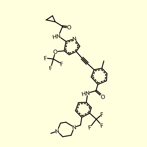 Cc1ccc(C(=O)Nc2ccc(CN3CCN(C)CC3)c(C(F)(F)F)c2)cc1C#Cc1cnc(NC(=O)C2CC2)c(OC(F)(F)F)c1